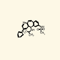 CC(C)NC1c2cc(NS(C)(=O)=O)ccc2C=Cc2ncc(-c3ccccc3)cc21